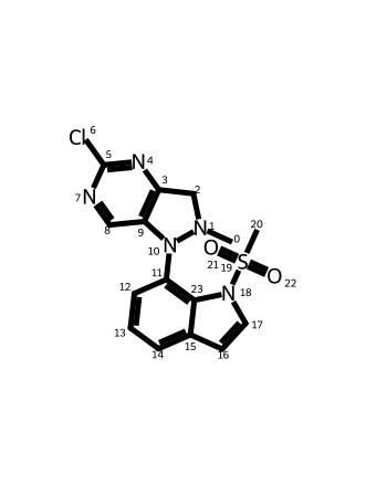 CN1Cc2nc(Cl)ncc2N1c1cccc2ccn(S(C)(=O)=O)c12